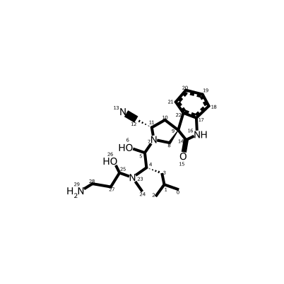 CC(C)C[C@@H](C(O)N1C[C@]2(C[C@H]1C#N)C(=O)Nc1ccccc12)N(C)C(O)CCN